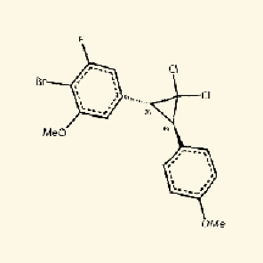 COc1ccc([C@H]2[C@H](c3cc(F)c(Br)c(OC)c3)C2(Cl)Cl)cc1